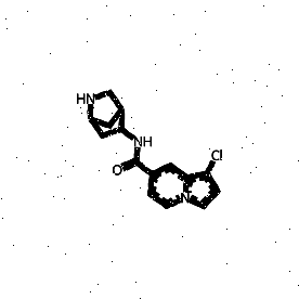 O=C(NC1CC2CC1CN2)c1ccn2ccc(Cl)c2c1